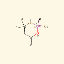 CC1CC(C)(C)S[P@](C)(=S)O1